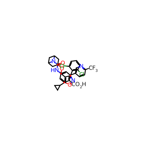 O=C(O)c1ccc(NC(=O)N2C3CC(OCc4c(-c5c(Cl)cccc5Cl)noc4C4CC4)CC2C3)cc1-c1ccc(C(F)(F)F)nc1